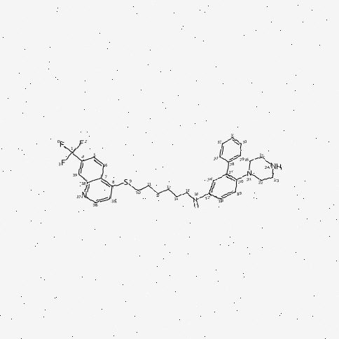 FC(F)(F)c1ccc2c(SCCCCCCNc3ccc(N4CCNCC4)c(-c4ccccc4)c3)ccnc2c1